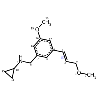 COC/C=C/c1cc(CNC2CC2)cc(OC)c1